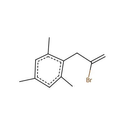 C=C(Br)Cc1c(C)cc(C)cc1C